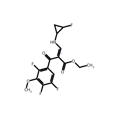 CCOC(=O)/C(=C/NC1CC1F)C(=O)c1cc(F)c(F)c(OC)c1F